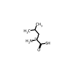 CC(C)C[C@H](N)C(=O)S